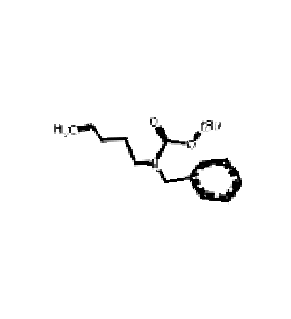 C=CCCCN(Cc1ccccc1)C(=O)OC(C)(C)C